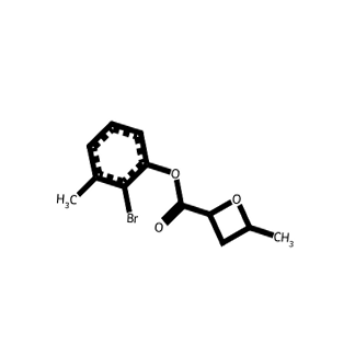 Cc1cccc(OC(=O)C2CC(C)O2)c1Br